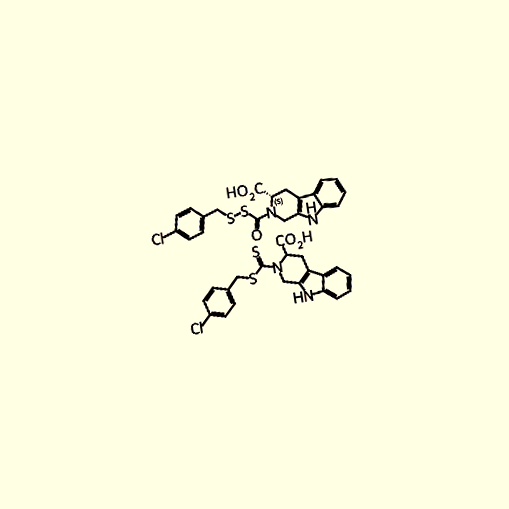 O=C(O)C1Cc2c([nH]c3ccccc23)CN1C(=S)SCc1ccc(Cl)cc1.O=C(O)[C@@H]1Cc2c([nH]c3ccccc23)CN1C(=O)SSCc1ccc(Cl)cc1